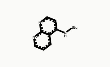 CC(C)(C)Nc1ccnc2ncccc12